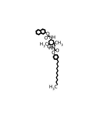 CCCCCCCCCCCCc1ccc(OC(=O)NCC2(C)CC(NC(=O)Oc3ccc4ccccc4c3)CC(C)(C)C2)cc1